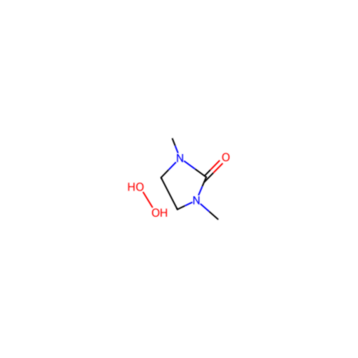 CN1CCN(C)C1=O.OO